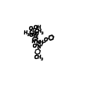 CC1CCC(N(CCCOc2ccccc2)C(=O)Nc2ncc(S(=O)(=O)C(C)(C)C(=O)O)s2)CC1